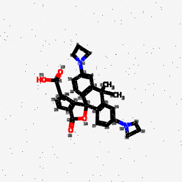 CC1(C)c2cc(N3CCC3)ccc2C2(OC(=O)c3ccc(C(=O)O)cc32)c2ccc(N3CCC3)cc21